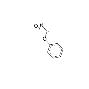 O=[N+]([O-])[CH]Oc1ccccc1